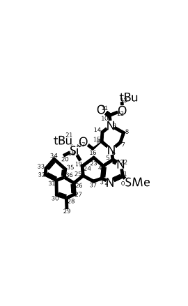 CSc1nc2c(c(N3CCN(C(=O)OC(C)(C)C)C[C@@H]3CO[Si](C)(C)C(C)(C)C)n1)CCC(c1cc(C)cc3ccccc13)C2